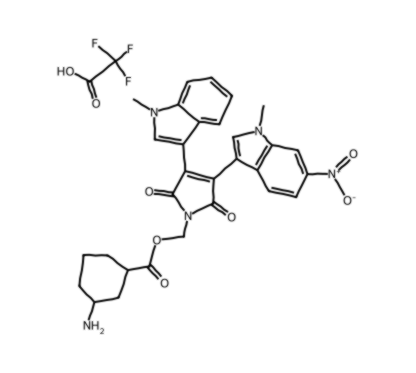 Cn1cc(C2=C(c3cn(C)c4cc([N+](=O)[O-])ccc34)C(=O)N(COC(=O)C3CCCC(N)C3)C2=O)c2ccccc21.O=C(O)C(F)(F)F